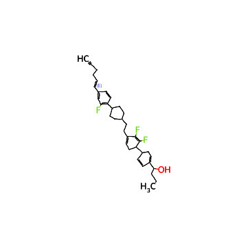 C#CCC/C=C/c1ccc(C2CCC(CCC3=CCC(C4C=CC(C(O)CCC)=CC4)C(F)=C3F)CC2)c(F)c1